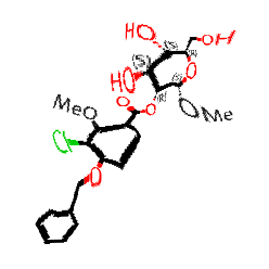 COc1c(C(=O)O[C@H]2[C@@H](OC)O[C@H](CO)[C@@H](O)[C@@H]2O)ccc(OCc2ccccc2)c1Cl